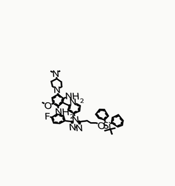 COc1cc(N2CCC(N(C)C)CC2)c(N)c(-c2cc(-n3c(CCCO[Si](c4ccccc4)(c4ccccc4)C(C)(C)C)nnc3-c3ccc(F)cc3)ccn2)c1N